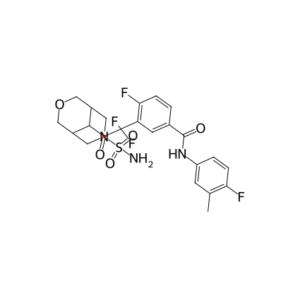 Cc1cc(NC(=O)c2ccc(F)c(C(F)(F)C(=O)C3C4COCC3CN(S(N)(=O)=O)C4)c2)ccc1F